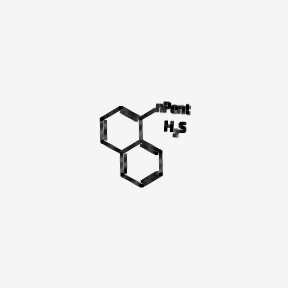 CCCCCc1cccc2ccccc12.S